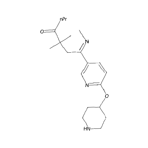 CCCC(=O)C(C)(C)C/C(=N\C)c1ccc(OC2CCNCC2)nc1